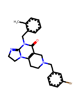 Cc1ccccc1CN1C(=O)C2=C(CCN(Cc3cccc(Br)c3)C2)N2CCN=C12